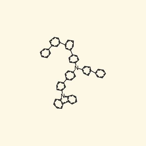 c1ccc(-c2ccc(N(c3ccc(-c4cccc(-c5cccc(-c6ccccc6)c5)c4)cc3)c3ccc(-c4cccc(-n5c6ccccc6c6ccccc65)c4)cc3)cc2)cc1